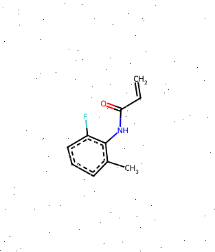 C=CC(=O)Nc1c(C)cccc1F